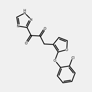 O=C(Cc1ccoc1Oc1ccccc1Cl)C(=O)c1nc[nH]n1